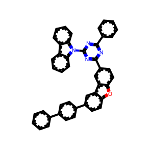 c1ccc(-c2ccc(-c3ccc4oc5ccc(-c6nc(-c7ccccc7)nc(-n7c8ccccc8c8ccccc87)n6)cc5c4c3)cc2)cc1